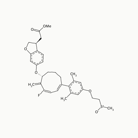 C=C1/C(F)=C\C=C(\c2c(C)cc(OCC[S+](C)[O-])cc2C)CCC[C@H]1Oc1ccc2c(c1)OC[C@H]2CC(=O)OC